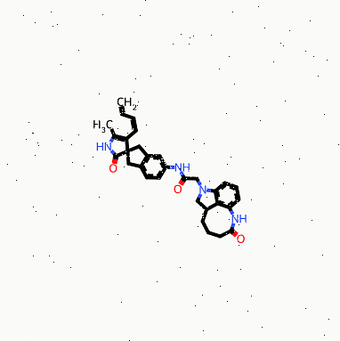 C=C/C=C\C1=C(C)NC(=O)C12Cc1ccc(NC(=O)CN3CC4CCCC(=O)Nc5cccc3c54)cc1C2